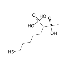 CP(=O)(O)C(CCCCCS)P(=O)(O)O